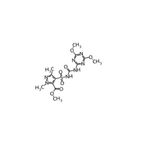 COC(=O)c1c(S(=O)(=O)NC(=O)Nc2nc(OC)nc(OC)n2)c(C)nn1C